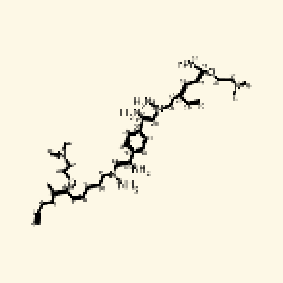 C#CCC/C(C)=C(\C=C/CCCN(N)/C=C(\N)c1ccc(/C(N)=C/N(N)CC/C(C=C)=C/C=C(\CCC)OCCN(C)C)cc1)OCCN(C)C